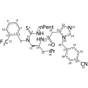 CCCCCNC(=S)N(Cc1ccccc1C(F)(F)F)C[C@H](CC(C)C)NC(=O)Cc1cncn1Cc1ccc(C#N)cc1